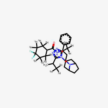 [2H]C([2H])([2H])c1nnc(C(C)C([2H])([2H])[2H])n1C1CC2CCC(C1)N2CCC(NC(=O)C1C([2H])([2H])C([2H])([2H])C(F)(F)C([2H])([2H])C1([2H])[2H])c1ccccc1